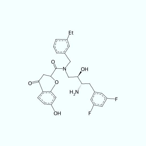 CCc1cccc(CN(C[C@@H](O)[C@@H](N)Cc2cc(F)cc(F)c2)C(=O)C2CC(=O)c3ccc(O)cc3O2)c1